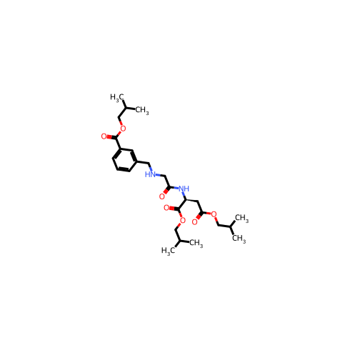 CC(C)COC(=O)C[C@H](NC(=O)CNCc1cccc(C(=O)OCC(C)C)c1)C(=O)OCC(C)C